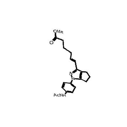 COC(=O)CCC/C=C/c1nn(-c2ccc(NC(C)=O)cc2)c2c1CCC2